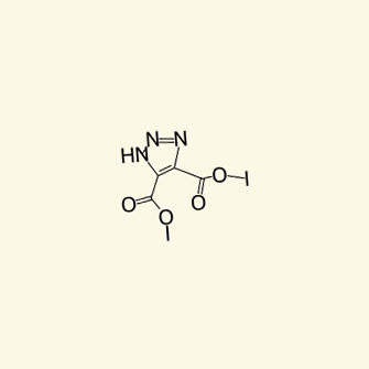 O=C(OI)c1nn[nH]c1C(=O)OI